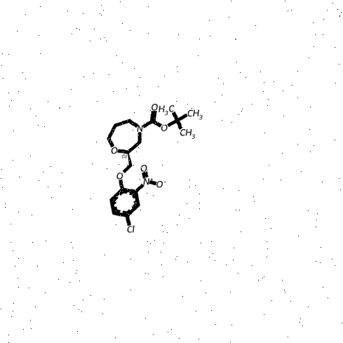 CC(C)(C)OC(=O)N1CCCO[C@H](COc2ccc(Cl)cc2[N+](=O)[O-])C1